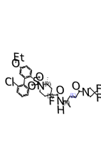 CCOc1ccc(S(=O)(=O)N2CC[C@@](F)(C(=O)N[C@H](C)/C=C/C(=O)N3CC(F)(F)C3)C[C@H]2C)c(-c2ccccc2Cl)c1